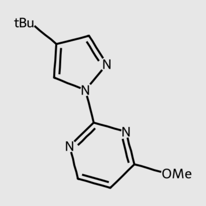 COc1ccnc(-n2cc(C(C)(C)C)cn2)n1